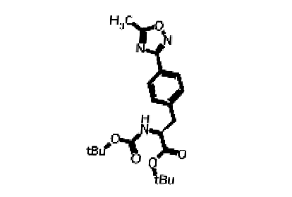 Cc1nc(-c2ccc(C[C@H](NC(=O)OC(C)(C)C)C(=O)OC(C)(C)C)cc2)no1